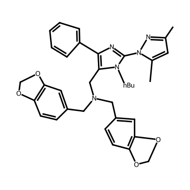 CCCCn1c(-n2nc(C)cc2C)nc(-c2ccccc2)c1CN(Cc1ccc2c(c1)OCO2)Cc1ccc2c(c1)OCO2